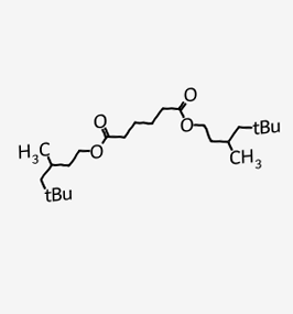 CC(CCOC(=O)CCCCC(=O)OCCC(C)CC(C)(C)C)CC(C)(C)C